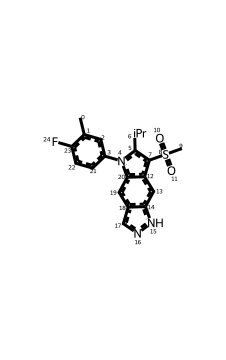 Cc1cc(-n2c(C(C)C)c(S(C)(=O)=O)c3cc4[nH]ncc4cc32)ccc1F